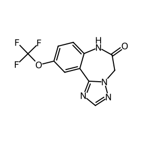 O=C1Cn2ncnc2-c2cc(OC(F)(F)F)ccc2N1